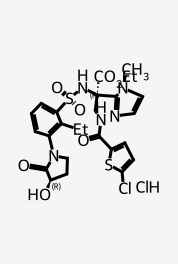 CCOC(=O)[C@](CNC(=O)c1ccc(Cl)s1)(NS(=O)(=O)c1cccc(N2CC[C@@H](O)C2=O)c1CC)c1nccn1C.Cl